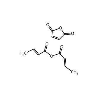 CC=CC(=O)OC(=O)C=CC.O=C1C=CC(=O)O1